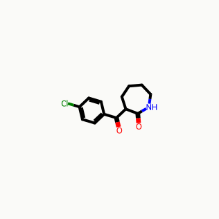 O=C1NCCCCC1C(=O)c1ccc(Cl)cc1